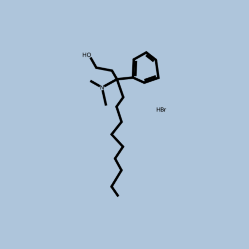 Br.CCCCCCCCCC(CCO)(c1ccccc1)N(C)C